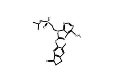 CC(C)NS(=O)(=O)CCn1c(Sc2cc3c(cc2I)CCC3=O)nc2c(N)ncnc21